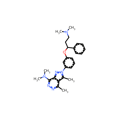 Cc1nnc(N(C)C)c2nn(-c3cccc(OC(CCN(C)C)c4ccccc4)c3)c(C)c12